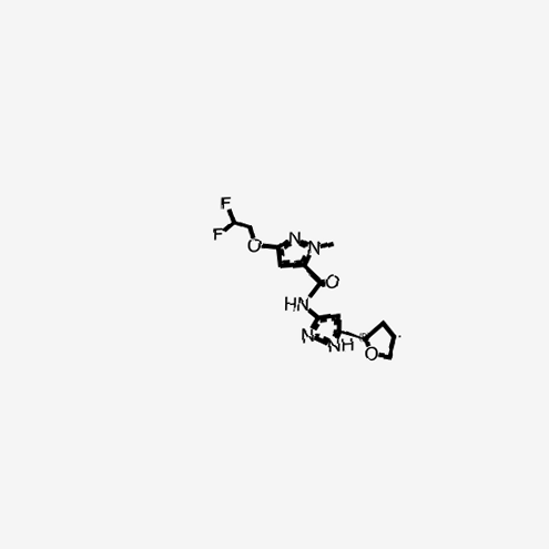 Cn1nc(OCC(F)F)cc1C(=O)Nc1cc([C@H]2C[CH]CO2)[nH]n1